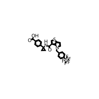 O=C(O)c1ccc(C2(NC(=O)c3csc4ccn(Cc5ccc(S(F)(F)(F)(F)F)cc5)c34)CC2)cc1